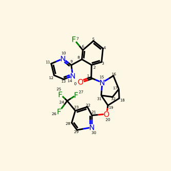 O=C(c1cccc(F)c1-c1ncccn1)N1CC2CC(Oc3cc(C(F)(F)F)ccn3)C1C2